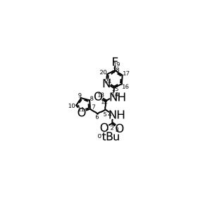 CC(C)(C)OC(=O)NC(Cc1ccco1)C(=O)Nc1ccc(F)cn1